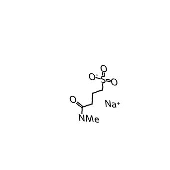 CNC(=O)CCCS(=O)(=O)[O-].[Na+]